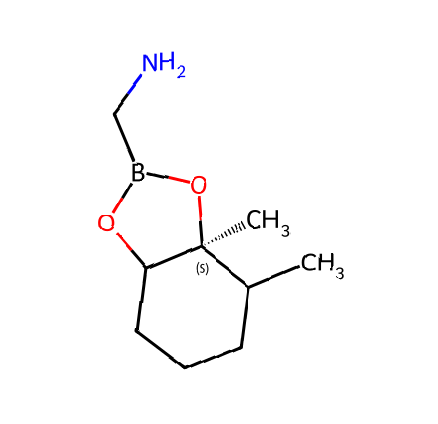 CC1CCCC2OB(CN)O[C@@]12C